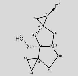 OC[C@]12C[C@@]3(C[C@H]3F)CN1CCC21CC1